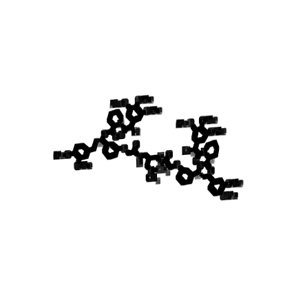 CC[C@H](C(=O)N1CCCCC1C(=O)O[C@H](CCc1ccc(OC)c(OC)c1)c1cccc(OCC(=O)NCC(CNC(=O)COc2cccc([C@@H](CCc3ccc(OC)c(OC)c3)OC(=O)[C@@H]3CCCCN3C(=O)[C@@H](CC)c3cc(OC)c(OC)c(OC)c3)c2)CN(C)C)c1)c1cc(OC)c(OC)c(OC)c1